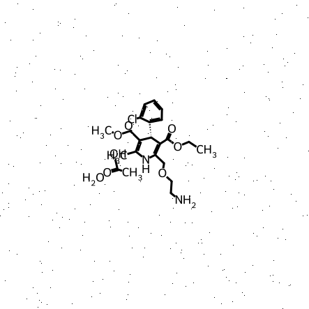 CC(=O)O.CCOC(=O)C1=C(COCCN)NC(C)=C(C(=O)OC)[C@@H]1c1ccccc1Cl.O